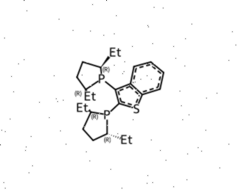 CC[C@@H]1CC[C@@H](CC)P1c1sc2ccccc2c1P1[C@H](CC)CC[C@H]1CC